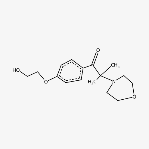 CC(C)(C(=O)c1ccc(OCCO)cc1)N1CCOCC1